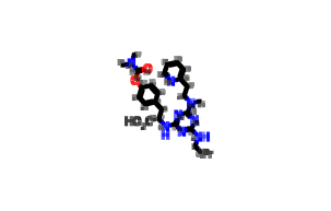 CC(C)CNc1nc(N[C@@H](Cc2ccc(OC(=O)N(C)C)cc2)C(=O)O)nc(N(C)CCc2ccccn2)n1